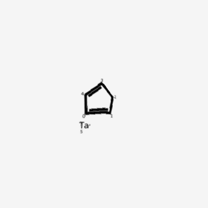 C1=CCC=C1.[Ta]